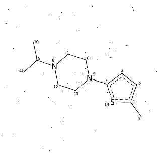 Cc1ccc(N2CCN(C(C)C)CC2)s1